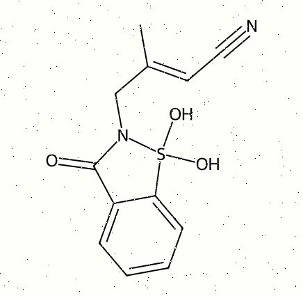 CC(=CC#N)CN1C(=O)c2ccccc2S1(O)O